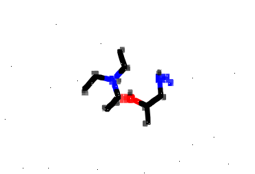 CC(O)CN.CCN(CC)CC